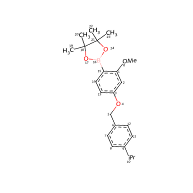 COc1cc(OCc2ccc(C(C)C)cc2)ccc1B1OC(C)(C)C(C)(C)O1